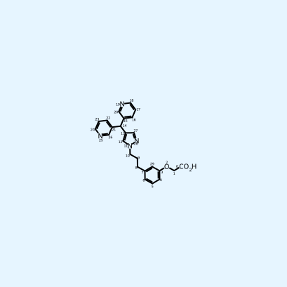 O=C(O)COc1cccc(CCCn2cc(C(c3cccnc3)c3cccnc3)cn2)c1